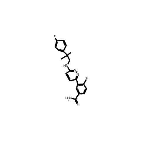 CC(C)(CNc1ccc(-c2cc(C(N)=O)ccc2F)nn1)c1ccc(F)cc1